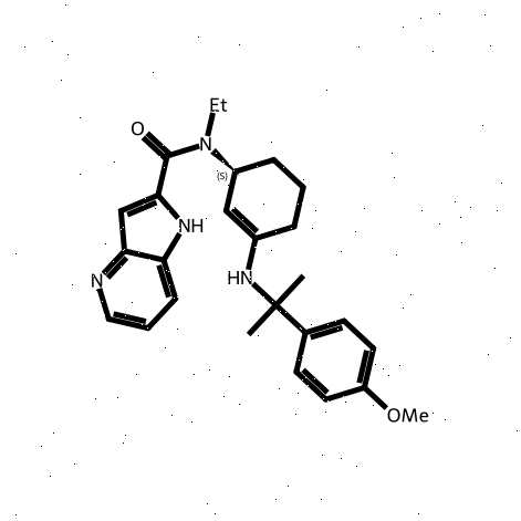 CCN(C(=O)c1cc2ncccc2[nH]1)[C@@H]1C=C(NC(C)(C)c2ccc(OC)cc2)CCC1